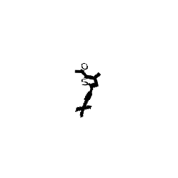 CC(=O)c1sc(C#CC(C)(C)C)cc1C